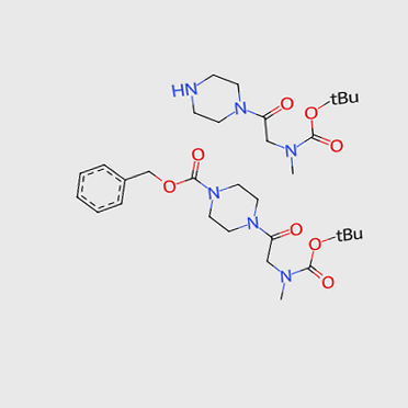 CN(CC(=O)N1CCN(C(=O)OCc2ccccc2)CC1)C(=O)OC(C)(C)C.CN(CC(=O)N1CCNCC1)C(=O)OC(C)(C)C